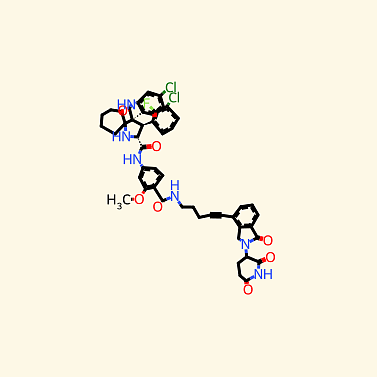 COc1cc(NC(=O)[C@@H]2NC3(CCCCC3)[C@@]3(C(=O)Nc4cc(Cl)ccc43)[C@H]2c2cccc(Cl)c2F)ccc1C(=O)NCCCC#Cc1cccc2c1CN(C1CCC(=O)NC1=O)C2=O